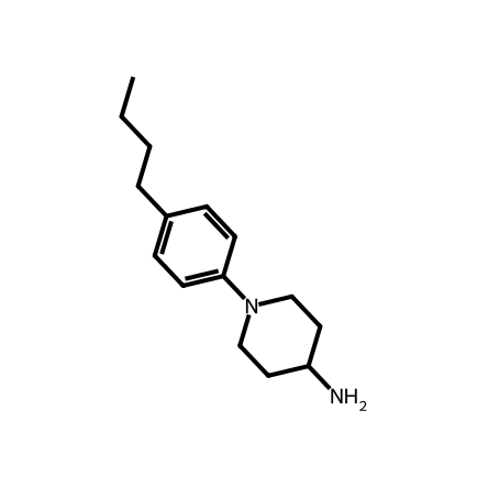 CCCCc1ccc(N2CCC(N)CC2)cc1